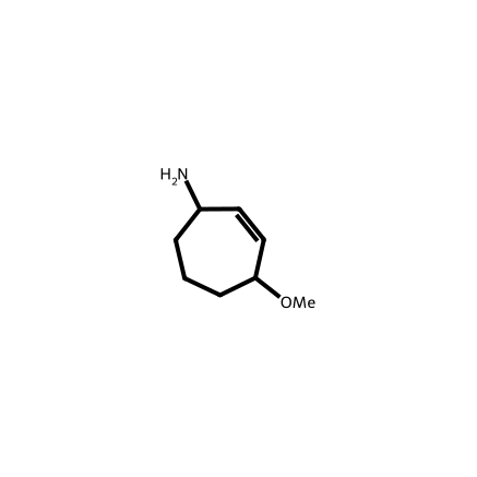 COC1C=CC(N)CCC1